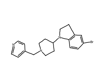 Brc1ccc2c(c1)CCN2C1CCN(Cc2ccncc2)CC1